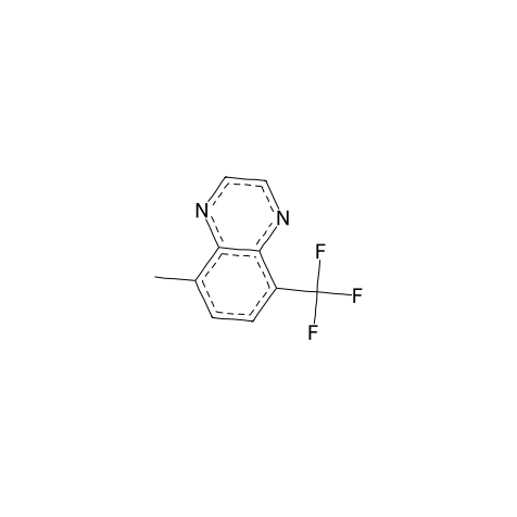 Cc1ccc(C(F)(F)F)c2nccnc12